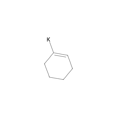 [K][C]1=CCCCC1